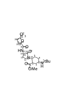 COC(=O)C1CC(NC(C)(C)C)CCC1N1CC[C@H](NC(=O)c2ccc(C(F)(F)F)o2)C1=O